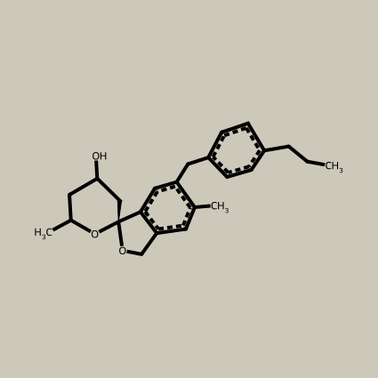 CCCc1ccc(Cc2cc3c(cc2C)CO[C@@]32CC(O)CC(C)O2)cc1